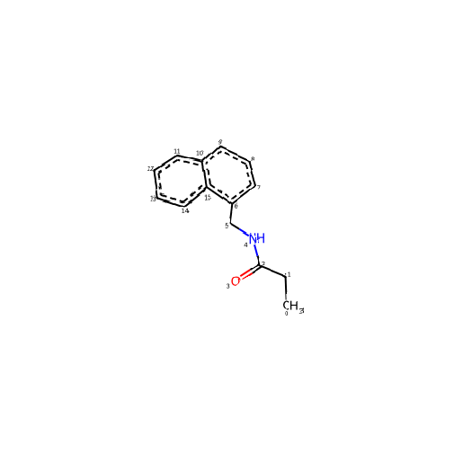 C[CH]C(=O)NCc1cccc2ccccc12